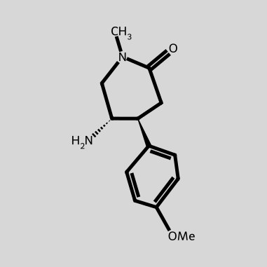 COc1ccc([C@@H]2CC(=O)N(C)C[C@H]2N)cc1